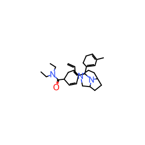 C=CCN1CCC2CCC(C1)N2C(C1=CCC(C(=O)N(CC)CC)C=C1)C1=CC(C)=CCC1